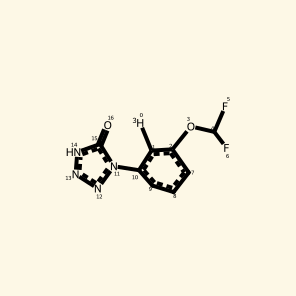 [3H]c1c(OC(F)F)cccc1-n1nn[nH]c1=O